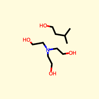 CC(C)CCO.OCCN(CCO)CCO